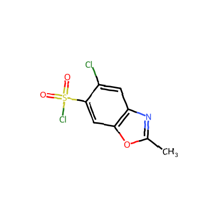 Cc1nc2cc(Cl)c(S(=O)(=O)Cl)cc2o1